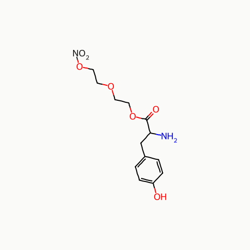 NC(Cc1ccc(O)cc1)C(=O)OCCOCCO[N+](=O)[O-]